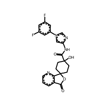 O=C1OC2(CCC(O)(C(=O)Nc3cn(-c4cc(F)cc(F)c4)cn3)CC2)c2ncccc21